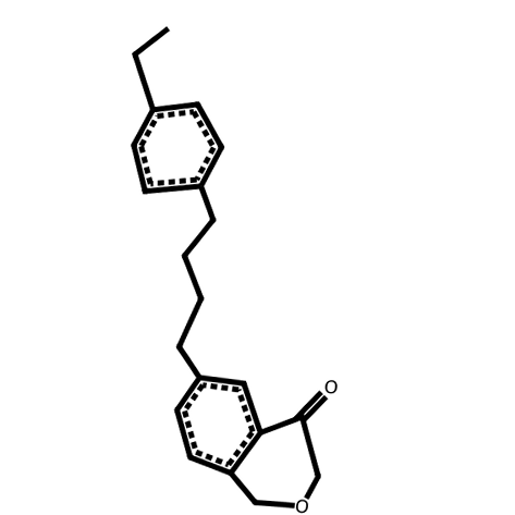 CCc1ccc(CCCCc2ccc3c(c2)C(=O)COC3)cc1